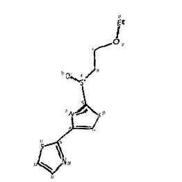 CCOCC[S+]([O-])c1nc(-c2nccs2)cs1